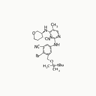 Cc1cnc(Nc2cc(C#N)c(Br)c(CO[Si](C)(C)C(C)(C)C)c2)nc1N[C@@H]1COCC[C@H]1C#N